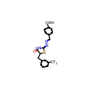 COc1ccc(/C=N/N=C2\NC(=O)C(Cc3cccc(C(F)(F)F)c3)S2)cc1